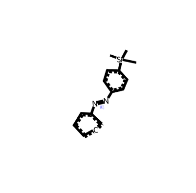 C[Si](C)(C)c1ccc(/N=N/c2ccccc2)cc1